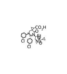 CCC(CN(C)S(=O)(=O)C1CC1)N1C(=O)C2(CC2C(=O)O)C[C@H](c2cccc(Cl)c2)[C@H]1c1ccc(Cl)cc1